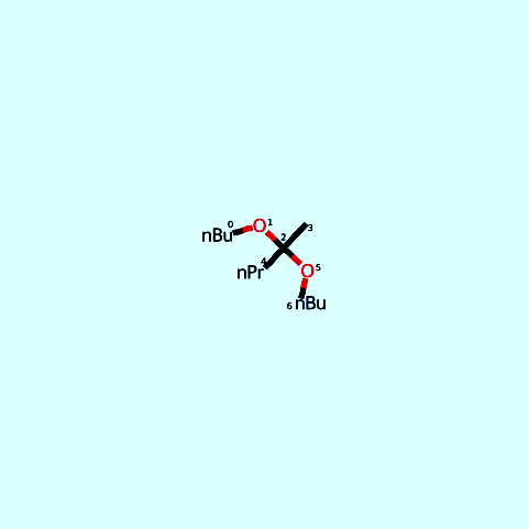 CCCCOC(C)(CCC)OCCCC